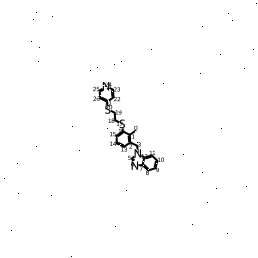 Cc1c(Cn2cnc3ccccc32)cccc1SCCSc1ccncc1